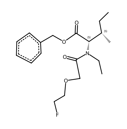 CC[C@H](C)[C@@H](C(=O)OCc1ccccc1)N(CC)C(=O)COCCF